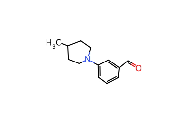 CC1CCN(c2cccc(C=O)c2)CC1